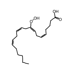 CCCCC/C=C\C/C=C\C/C(=C\C/C=C\CCCC(=O)O)OO